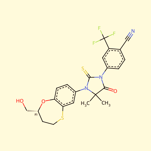 CC1(C)C(=O)N(c2ccc(C#N)c(C(F)(F)F)c2)C(=S)N1c1ccc2c(c1)SCC[C@H](CO)O2